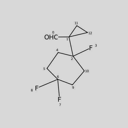 O=CC1(C2(F)CCC(F)(F)CC2)CC1